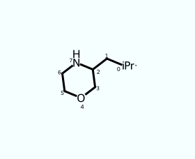 C[C](C)CC1COCCN1